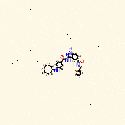 O=C(NCc1cccs1)c1ccc2[nH]nc(NC(=O)c3ccc(NC4CCCCCCC4)cc3)c2c1